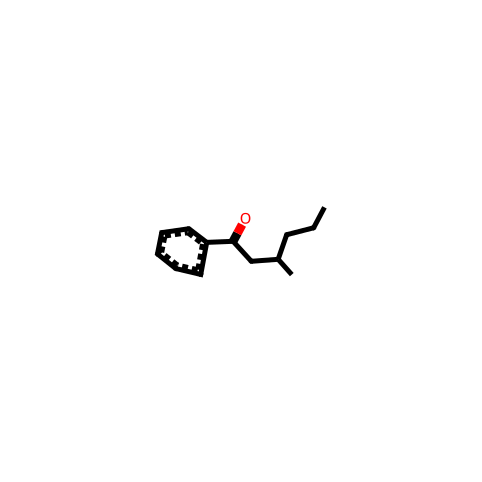 CCCC(C)CC(=O)c1ccccc1